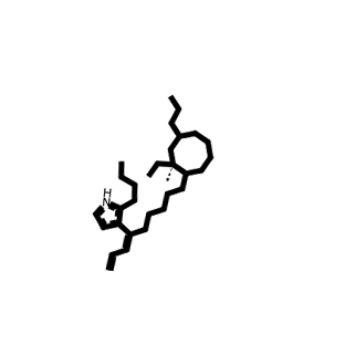 C=C/C=C(/CCCCCC1CCCCC(CCC)C[C@]1(C)CC)c1cc[nH]c1CCCC